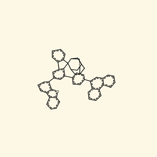 c1ccc2c(c1)-c1cc(-c3cccc4c3oc3ccccc34)cc(-c3ccc(-c4cc5ccccc5c5ccccc45)cc3)c1C21C2CCC3CC(C2)CC1C3